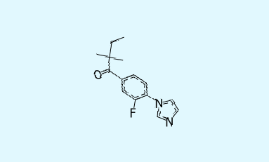 CCC(C)(C)C(=O)c1ccc(-n2ccnc2)c(F)c1